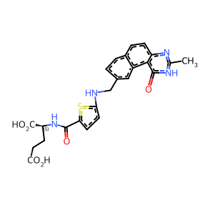 Cc1nc2ccc3ccc(CNc4ccc(C(=O)N[C@@H](CCC(=O)O)C(=O)O)s4)cc3c2c(=O)[nH]1